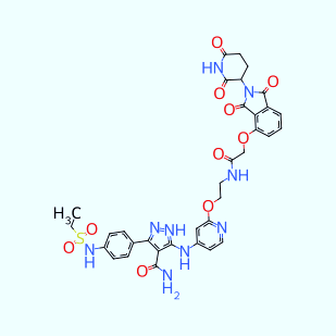 CCS(=O)(=O)Nc1ccc(-c2n[nH]c(Nc3ccnc(OCCNC(=O)COc4cccc5c4C(=O)N(C4CCC(=O)NC4=O)C5=O)c3)c2C(N)=O)cc1